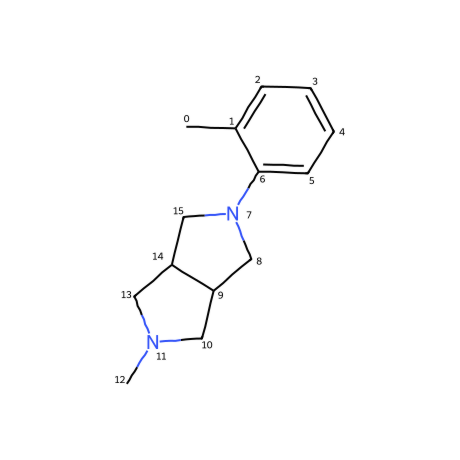 Cc1ccccc1N1CC2CN(C)CC2C1